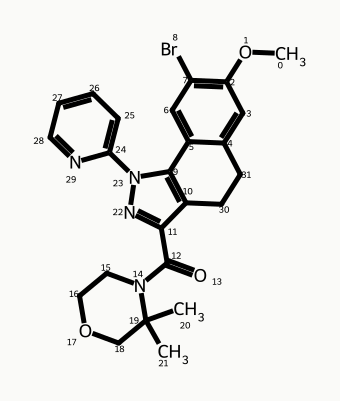 COc1cc2c(cc1Br)-c1c(c(C(=O)N3CCOCC3(C)C)nn1-c1ccccn1)CC2